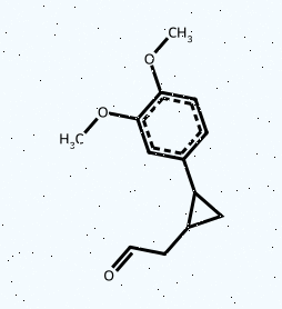 COc1ccc(C2CC2CC=O)cc1OC